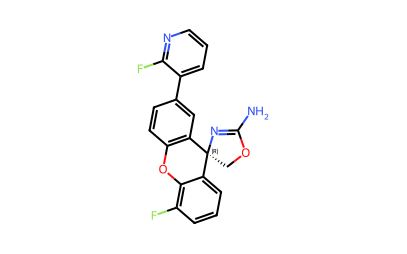 NC1=N[C@]2(CO1)c1cc(-c3cccnc3F)ccc1Oc1c(F)cccc12